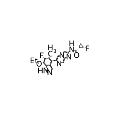 CCOc1c(F)c(C)c(-c2cn3cc(NC(=O)[C@@H]4C[C@@H]4F)nc3cn2)c2cn[nH]c12